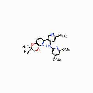 COc1cc(Nc2cc(NC(C)=O)ncc2-c2ccc3c(n2)OCC(C)(C)O3)nc(SC)c1